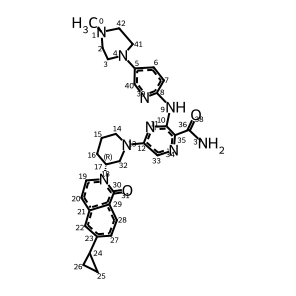 CN1CCN(c2ccc(Nc3nc(N4CCC[C@@H](n5ccc6cc(C7CC7)ccc6c5=O)C4)cnc3C(N)=O)nc2)CC1